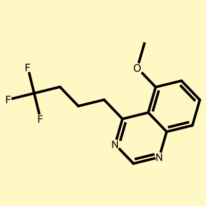 COc1cccc2ncnc(CCCC(F)(F)F)c12